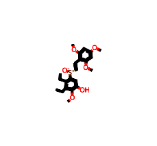 CCc1c([S+]([O-])/C=C/c2c(OC)cc(OC)cc2OC)cc(O)c(OC)c1CC